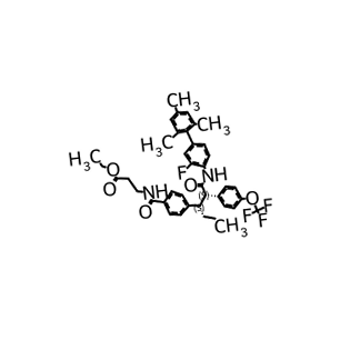 CCC[C@H](c1ccc(C(=O)NCCC(=O)OCC)cc1)[C@H](C(=O)Nc1ccc(-c2c(C)cc(C)cc2C)cc1F)c1ccc(OC(F)(F)F)cc1